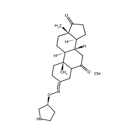 C[C@]12CC/C(=N\O[C@H]3CCNC3)CC1C(=O)C[C@@H]1[C@@H]2CC[C@]2(C)C(=O)CC[C@@H]12.Cl